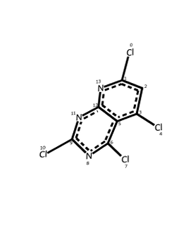 Clc1cc(Cl)c2c(Cl)nc(Cl)nc2n1